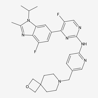 Cc1nc2c(F)cc(-c3nc(Nc4ccc(CN5CCC6(CC5)COC6)cn4)ncc3F)cc2n1C(C)C